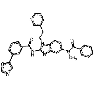 CN(C(=O)c1ccccc1)c1ccc2c(c1)nc(NC(=O)c1cccc(-c3cnco3)c1)n2CCc1cccnc1